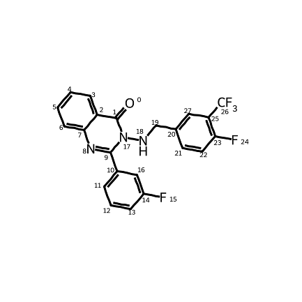 O=c1c2ccccc2nc(-c2cccc(F)c2)n1NCc1ccc(F)c(C(F)(F)F)c1